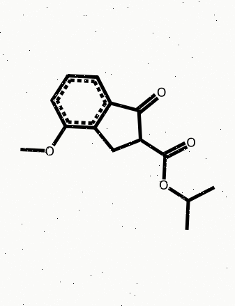 COc1cccc2c1CC(C(=O)OC(C)C)C2=O